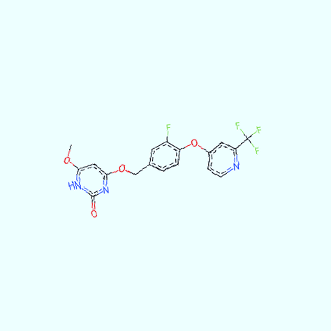 COc1cc(OCc2ccc(Oc3ccnc(C(F)(F)F)c3)c(F)c2)nc(=O)[nH]1